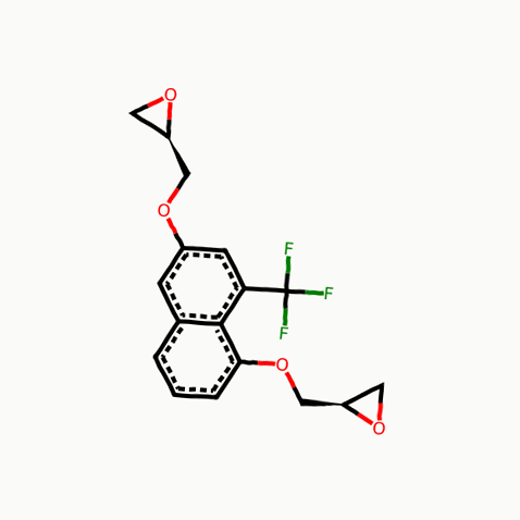 FC(F)(F)c1cc(OC[C@H]2CO2)cc2cccc(OC[C@H]3CO3)c12